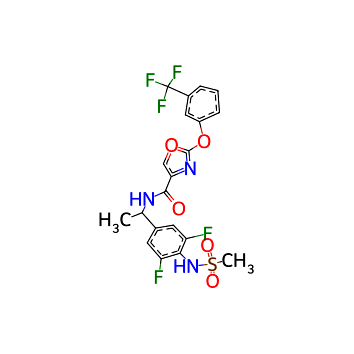 CC(NC(=O)c1coc(Oc2cccc(C(F)(F)F)c2)n1)c1cc(F)c(NS(C)(=O)=O)c(F)c1